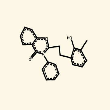 Cc1cccc(CCc2nc3ccccc3c(=O)n2-c2ccccc2)c1O